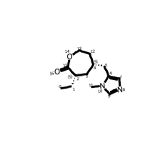 CC[C@H]1C[C@@H](Cc2cncn2C)CCOC1=O